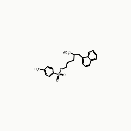 Cc1ccc(S(=O)(=O)OCCCC(Cc2cccc3ccccc23)C(=O)O)cc1